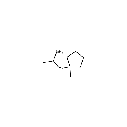 CC([SiH3])OC1(C)CCCC1